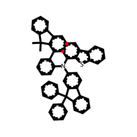 CC1(C)c2ccccc2-c2cccc(-c3ccccc3N(c3ccc4c(c3)C(c3ccccc3)(c3ccccc3)c3ccccc3-4)c3cccc4c3sc3ccccc34)c21